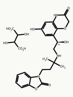 CC(C)(CCn1c(=O)oc2ccccc21)NC[C@H](O)c1cc(O)cc2c1OCC(=O)N2.O=C(O)C(O)C(O)C(=O)O